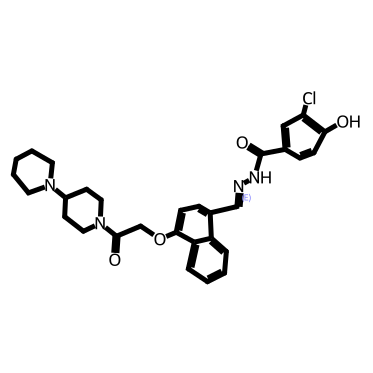 O=C(N/N=C/c1ccc(OCC(=O)N2CCC(N3CCCCC3)CC2)c2ccccc12)c1ccc(O)c(Cl)c1